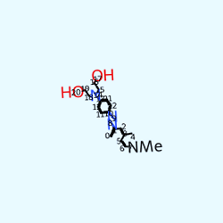 C=C(/C=C(C)\C=C/NC)/N=N/c1ccc(N(CCO)CCO)cc1